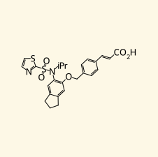 CC(C)N(c1cc2c(cc1OCc1ccc(C=CC(=O)O)cc1)CCC2)S(=O)(=O)c1nccs1